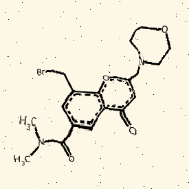 CN(C)C(=O)c1cc(CBr)c2oc(N3CCOCC3)cc(=O)c2c1